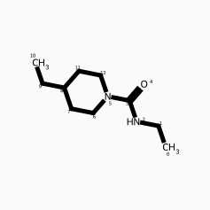 CCNC(=O)N1CCC(CC)CC1